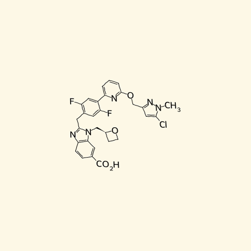 Cn1nc(COc2cccc(-c3cc(F)c(Cc4nc5ccc(C(=O)O)cc5n4C[C@@H]4CCO4)cc3F)n2)cc1Cl